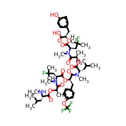 CN[C@@H](CC(C)C)C(=O)O[C@H](C)C(=O)N(C)[C@@H](CC(C)(C)F)C(=O)O[C@H](Cc1ccc(OC(F)(F)F)cc1)C(=O)N(C)[C@@H](CC(C)C)C(=O)O[C@H](C)C(=O)N(C)[C@H](CC(C)(C)F)C(=O)O[C@H](Cc1ccc(O)cc1)C(=O)O